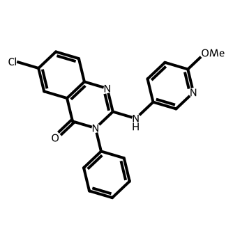 COc1ccc(Nc2nc3ccc(Cl)cc3c(=O)n2-c2ccccc2)cn1